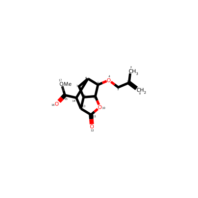 C=C(C)COC1C2CC3C1OC(=O)C3C2C(=O)OC